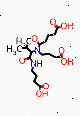 CC(C)C(C(=O)NCCCC(=O)O)N(CCCC(=O)O)C(=O)CCCC(=O)O